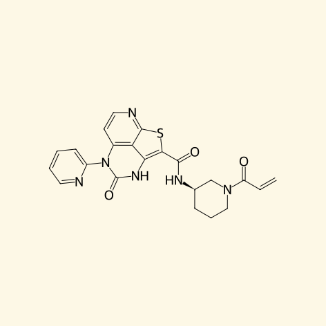 C=CC(=O)N1CCC[C@@H](NC(=O)c2sc3nccc4c3c2NC(=O)N4c2ccccn2)C1